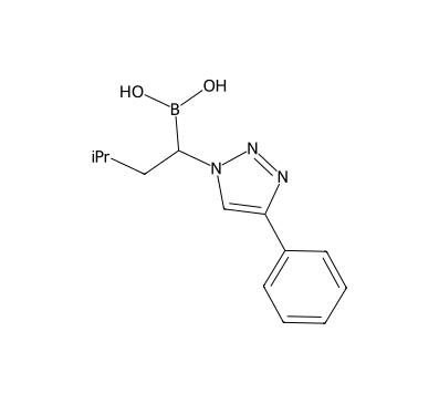 CC(C)CC(B(O)O)n1cc(-c2ccccc2)nn1